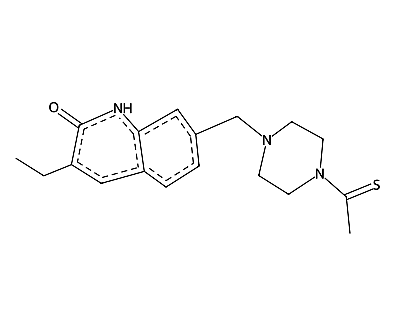 CCc1cc2ccc(CN3CCN(C(C)=S)CC3)cc2[nH]c1=O